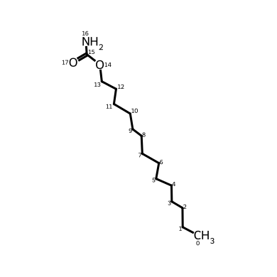 CCCCCCCCCCCCCCOC(N)=O